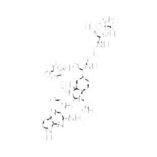 CCn1c(CN(C=O)c2nc3cc[nH]c3nc2N)[n+](CC)c2ccc(C(=O)NCCCNC(=O)OC(C)(C)C)cc21.O=CO.O=C[O-]